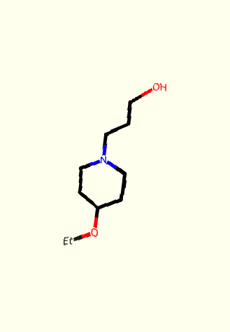 CCOC1CCN(CCCO)CC1